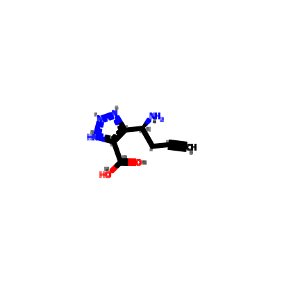 C#CC[C@H](N)c1nn[nH]c1C(=O)O